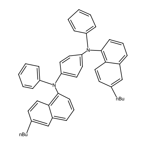 CCCCc1ccc2c(N(c3ccccc3)c3ccc(N(c4ccccc4)c4cccc5cc(CCCC)ccc45)cc3)cccc2c1